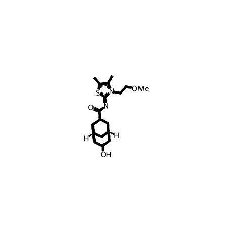 COCCn1c(C)c(C)sc1=NC(=O)C1C[C@H]2CC(O)C[C@@H](C1)C2